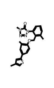 Cc1csc(-c2ccc(OCc3c(C)cccc3-n3nnn(C)c3=O)c(C)c2)c1